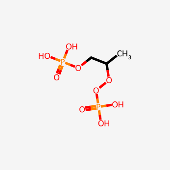 CC(COP(=O)(O)O)OOP(=O)(O)O